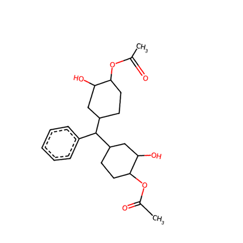 CC(=O)OC1CCC(C(c2ccccc2)C2CCC(OC(C)=O)C(O)C2)CC1O